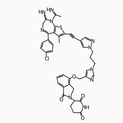 CC(=N)N1C(=N)CN=C(c2ccc(Cl)cc2)c2c1sc(C#Cc1cnn(CCCn3cnc(COc4cccc5c4CN(C4CCC(=O)NC4=O)C5=O)c3)c1)c2C